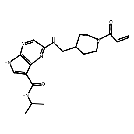 C=CC(=O)N1CCC(CNc2cnc3[nH]cc(C(=O)NC(C)C)c3n2)CC1